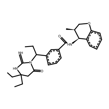 CCC(c1cccc(C(=O)N[C@@H]2c3ccccc3OC[C@@H]2C)c1)N1C(=N)NC(CC)(CC)CC1=O